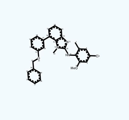 COc1cc(Cl)cc(C)c1Nc1nc2cccc(-c3cccc(OCc4ccccc4)c3)c2n1C